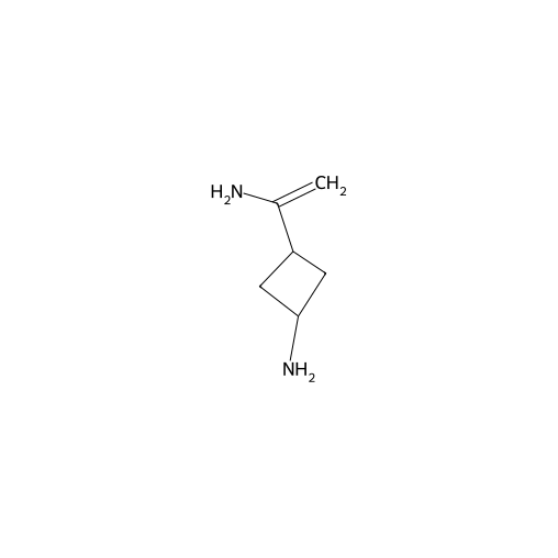 C=C(N)C1CC(N)C1